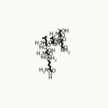 CC(C)C[C@H](N)C(=O)O.CC(C)[C@H](N)C(=O)O.C[C@@H](O)[C@H](N)C(=O)O.C[C@@H](O)[C@H](N)C(=O)OC(=O)[C@@H](N)CCC(N)=O.NCCCC[C@H](N)C(=O)O